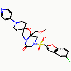 COCC12CN(S(=O)(=O)c3cc4cc(Cl)ccc4o3)CC(=O)N1CC1(CCN(c3ccncc3)CC1)O2